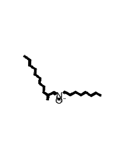 CCCCCCCCCC(C)C=[N+]([O-])CCCCCCCC